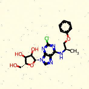 C[C@H](COc1ccccc1)Nc1nc(Cl)nc2c1ncn2[C@@H]1O[C@H](CO)C(O)C1O